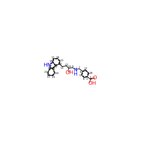 O=C(O)c1ccc(CNCC(O)CCc2cccc3[nH]c4ccccc4c23)cc1